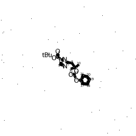 CC(C)(C)OC(=O)n1cnc(CC(C)(C)OC(=O)Oc2ccccc2)n1